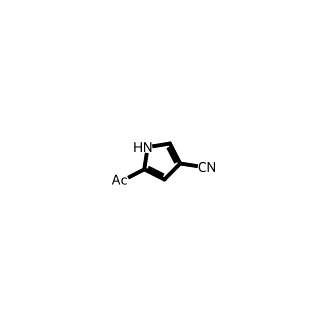 CC(=O)c1cc(C#N)c[nH]1